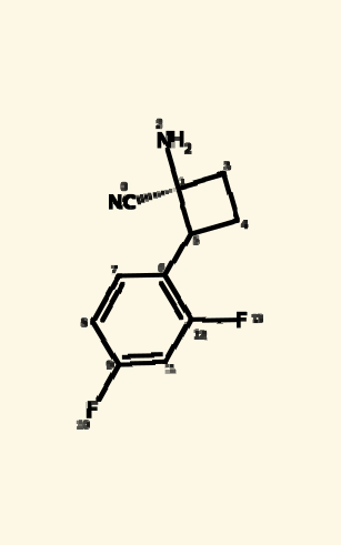 N#C[C@]1(N)CCC1c1ccc(F)cc1F